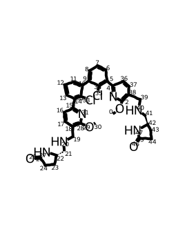 COc1nc(-c2cccc(-c3cccc(-c4ccc(CNC[C@@H]5CCC(=O)N5)c(OC)n4)c3Cl)c2Cl)ccc1CNC[C@H]1CCC(=O)N1